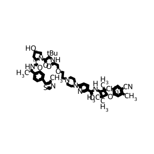 Cc1cc(OC2C(C)(C)C(NC(=O)c3ccc(N4CCN(CCOCC(=O)N[C@H](C(=O)N5C[C@H](O)C[C@H]5C(=O)N[C@@H](C)c5ccc(-c6scnc6C)cc5)C(C)(C)C)CC4)nc3)C2(C)C)ccc1C#N